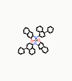 c1ccc(-c2ccc(N3c4cc5ccccc5cc4O[Si]34Oc3cc5ccccc5cc3N4c3ccc(-c4ccccc4)c4ccccc34)c3ccccc23)cc1